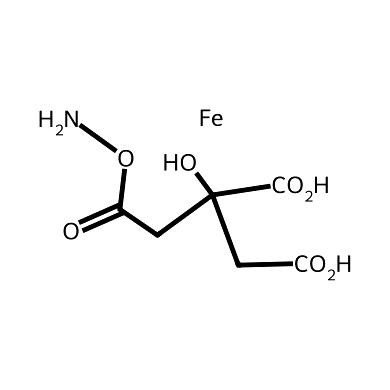 NOC(=O)CC(O)(CC(=O)O)C(=O)O.[Fe]